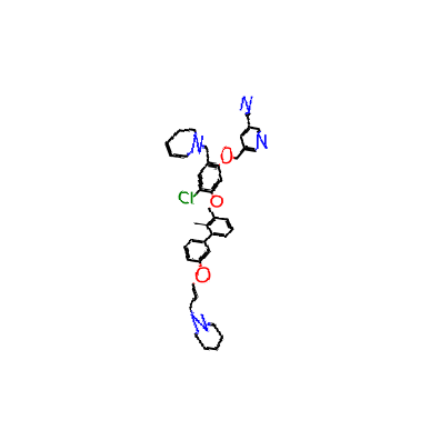 Cc1c(COc2cc(OCc3cncc(C#N)c3)c(CN3CCCCC3)cc2Cl)cccc1-c1cccc(OCCCN2CCCCC2)c1